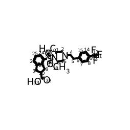 CC1CN(CCc2ccc(C(F)(F)F)cc2)CC(C)N1S(=O)(=O)c1cccc2c1CC(C(=O)O)C2